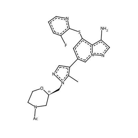 CC(=O)N1CCO[C@@H](Cn2ncc(-c3cc(Sc4ncccc4F)c4c(N)cnn4c3)c2C)C1